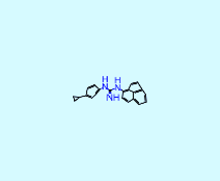 N=C(Nc1ccc(C2CC2)cc1)Nc1ccc2cccc3c2c1C=C3